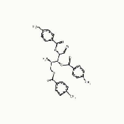 B[C@H](COC(=O)c1ccc(C)cc1)[C@H](OC(=O)c1ccc(C)cc1)[C@H](C=O)OC(=O)c1ccc(C)cc1